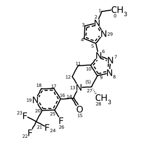 CCn1ccc(-n2nnc3c2CCN(C(=O)c2ccnc(C(F)(F)F)c2F)[C@H]3C)n1